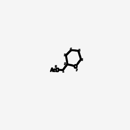 CC(=O)OCC1CCCCO1